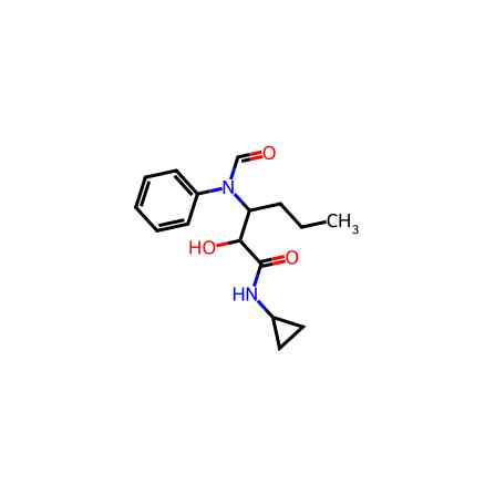 CCCC(C(O)C(=O)NC1CC1)N(C=O)c1ccccc1